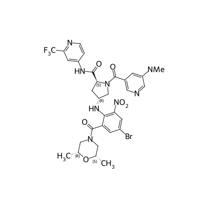 CNc1cncc(C(=O)N2C[C@H](Nc3c(C(=O)N4C[C@@H](C)O[C@@H](C)C4)cc(Br)cc3[N+](=O)[O-])C[C@H]2C(=O)Nc2ccnc(C(F)(F)F)c2)c1